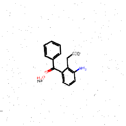 Nc1cccc(C(=O)c2ccccc2)c1CC(=O)[O-].O.[Na+]